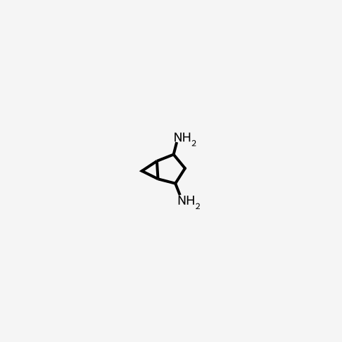 NC1CC(N)C2CC12